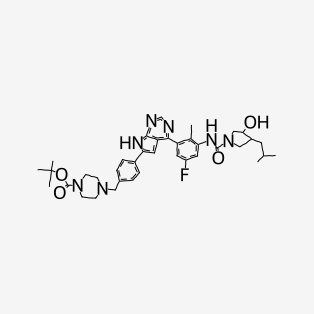 Cc1c(NC(=O)N2CC(O)C(CC(C)C)C2)cc(F)cc1-c1ncnc2[nH]c(-c3ccc(CN4CCN(C(=O)OC(C)(C)C)CC4)cc3)cc12